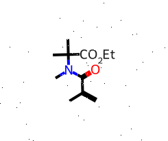 C=C(C)C(=O)N(C)C(C)(C)C(=O)OCC